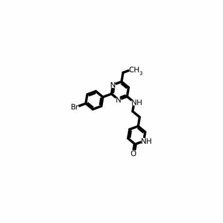 CCc1cc(NCCc2ccc(=O)[nH]c2)nc(-c2ccc(Br)cc2)n1